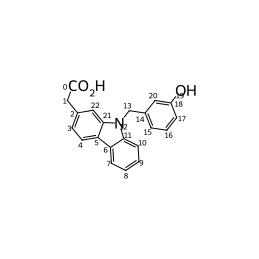 O=C(O)Cc1ccc2c3ccccc3n(Cc3cccc(O)c3)c2c1